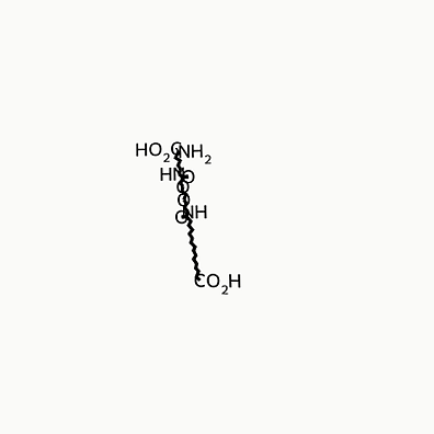 N[C@@H](CCCCNC(=O)COCCOCCNC(=O)CCCCCCCCCCCCCCC(=O)O)C(=O)O